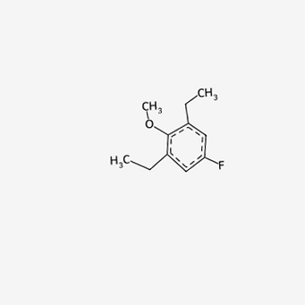 CCc1cc(F)cc(CC)c1OC